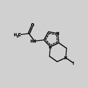 CC(=O)Nc1cnc2n1CCN(I)C2